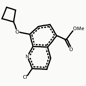 COC(=O)c1ccc(OC2CCC2)c2nc(Cl)ccc12